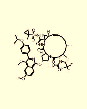 COc1ccc2c(O[C@@H]3C[C@H]4C(=O)N[C@]5(C(=O)NS(=O)(=O)C6(C)CC6)C[C@H]5/C=C\CC[C@H](C)C[C@@H](C)[C@H](N(C(=O)O)[C@H](C)C(F)(F)F)C(=O)N4C3)nc(-c3ccc(OC(C)C)cc3)c(OC)c2c1